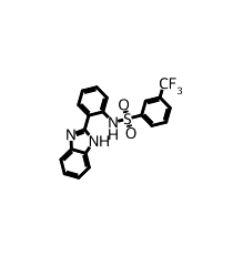 O=S(=O)(Nc1ccccc1-c1nc2ccccc2[nH]1)c1cccc(C(F)(F)F)c1